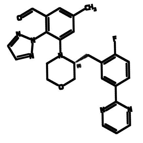 Cc1cc(C=O)c(-n2nccn2)c(N2CCOC[C@H]2Cc2cc(-c3ncccn3)ccc2F)c1